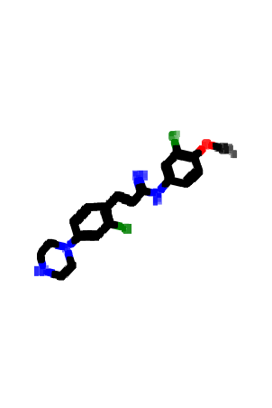 COc1ccc(NC(=N)/C=C/c2ccc(N3CCNCC3)cc2Cl)cc1Cl